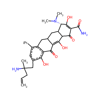 C=CCC(C)(N)Cc1cc(C(C)C)c2c(c1O)C(=O)C1=C(O)C3C(=O)C(C(N)=O)=C(O)[C@@H](N(C)C)C3CC1C2